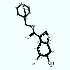 O=C(OCC12CCN(CC1)CC2)c1c[nH]c2cc(O)c(F)cc12